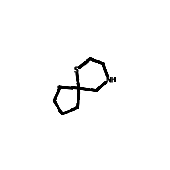 [CH]1CCCC12CNCCS2